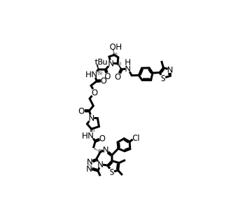 Cc1ncsc1-c1ccc(CNC(=O)[C@@H]2C[C@@H](O)CN2C(=O)[C@@H](NC(=O)COCCC(=O)N2CC[C@H](NC(=O)C[C@@H]3N=C(c4ccc(Cl)cc4)c4c(sc(C)c4C)-n4c(C)nnc43)C2)C(C)(C)C)cc1